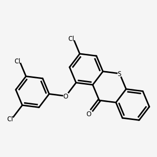 O=c1c2ccccc2sc2cc(Cl)cc(Oc3cc(Cl)cc(Cl)c3)c12